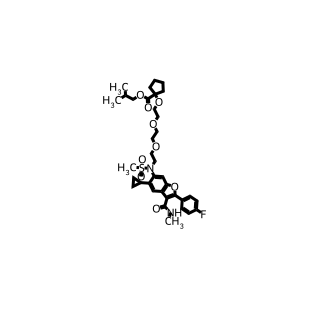 CNC(=O)c1c(-c2ccc(F)cc2)oc2cc(N(CCOCCOCCOC3(C(=O)OCC(C)C)CCCC3)S(C)(=O)=O)c(C3CC3)cc12